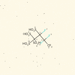 O=S(=O)(O)C(F)(C(F)(F)C(F)(F)F)C(S(=O)(=O)O)(S(=O)(=O)O)S(=O)(=O)O